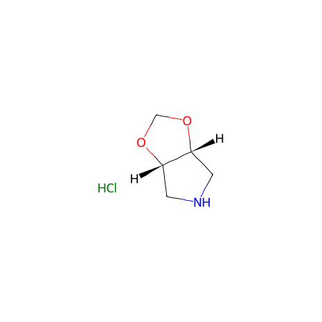 C1O[C@H]2CNC[C@H]2O1.Cl